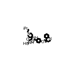 CC(C)CCN1CCC(CC(=O)NO)(NC(=O)c2ccc(OCC3(C)CC=Nc4ccccc43)cc2)CC1